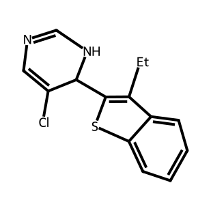 CCc1c(C2NC=NC=C2Cl)sc2ccccc12